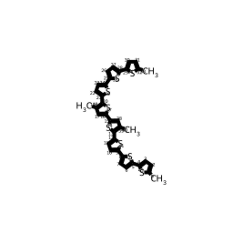 Cc1ccc(-c2ccc(-c3ccc(-c4sc(-c5cc(C)c(-c6ccc(-c7ccc(-c8ccc(C)s8)s7)s6)s5)cc4C)s3)s2)s1